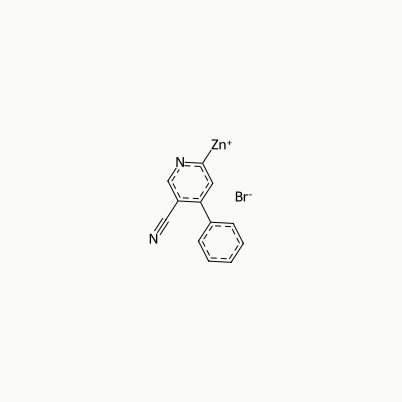 N#Cc1cn[c]([Zn+])cc1-c1ccccc1.[Br-]